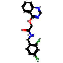 O=C(COc1ncnc2ccccc12)NCc1ccc(Cl)cc1Cl